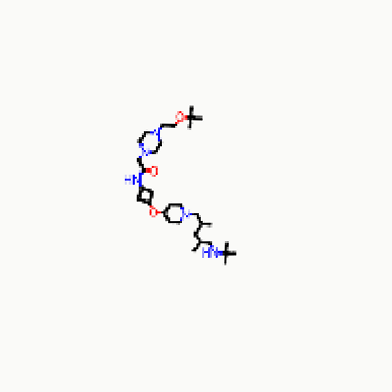 CC(CNC(C)(C)C)CC(C)CN1CCC(OC2CC(NC(=O)CN3CCN(CCOC(C)(C)C)CC3)C2)CC1